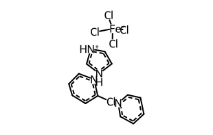 Clc1ccccn1.[Cl][Fe-]([Cl])([Cl])[Cl].c1c[nH+]c[nH]1.c1ccncc1